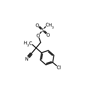 CC(C#N)(COS(C)(=O)=O)c1ccc(Cl)cc1